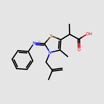 C=C(C)Cn1c(C)c(C(C)C(=O)O)s/c1=N/c1ccccc1